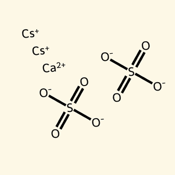 O=S(=O)([O-])[O-].O=S(=O)([O-])[O-].[Ca+2].[Cs+].[Cs+]